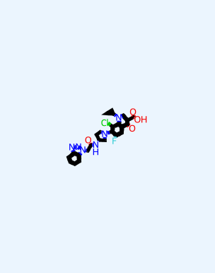 O=C(Cn1nnc2ccccc21)NC1CCN(c2c(F)cc3c(=O)c(C(=O)O)cn(C4CC4)c3c2Cl)C1